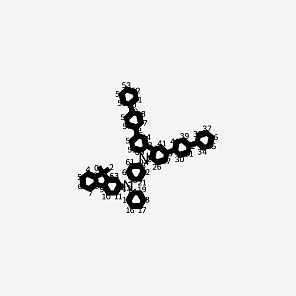 CC1(C)c2ccccc2-c2ccc(N(c3ccccc3)c3ccc(-n4c5ccc(-c6ccc(-c7ccccc7)cc6)cc5c5cc(-c6ccc(-c7ccccc7)cc6)ccc54)cc3)cc21